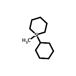 C[Si]1(C2CCCCC2)CCCCC1